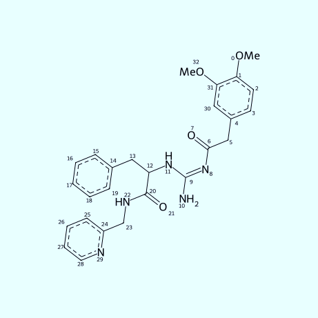 COc1ccc(CC(=O)N=C(N)NC(Cc2ccccc2)C(=O)NCc2ccccn2)cc1OC